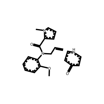 C=CCN(C(=O)c1cccn1C)c1ccccc1OC.O=c1cc[nH]cc1